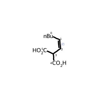 CCCC/C=C\C(C(=O)O)C(=O)O